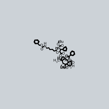 CO[C@H]1C[C@H]2OC[C@@]2(OC(C)=O)[C@H]2[C@H](CC(=O)c3ccccc3)[C@]3(O)C[C@H](OC(=O)[C@H](OC(=O)CCCCCNC(=O)OCc4ccccc4)[C@@H](NC(=O)OC(C)(C)C)c4ccccc4)C(C)=C([C@@H](CO)C(=O)[C@]12C)C3(C)C